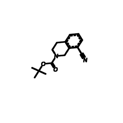 CC(C)(C)OC(=O)N1CCc2cccc(C#N)c2C1